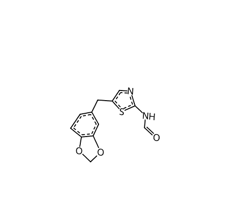 O=CNc1ncc(Cc2ccc3c(c2)OCO3)s1